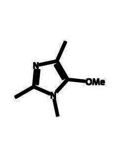 COc1c(C)nc(C)n1C